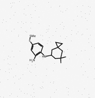 CSSc1ccc(NC2CC(C)(C)CC3(CC3)C2)c(N)c1